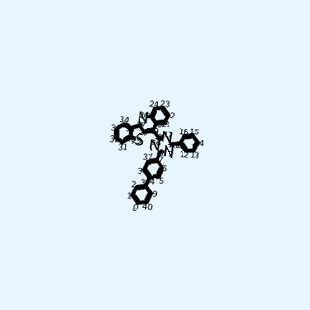 c1ccc(-c2ccc(-c3nc(-c4ccccc4)nc(-c4c5ccccc5nc5c4sc4ccccc45)n3)cc2)cc1